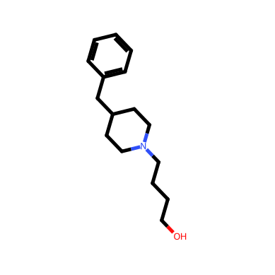 OCCCCN1CCC(Cc2ccccc2)CC1